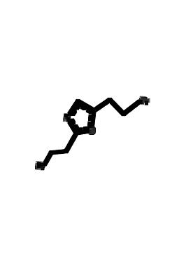 CC(C)CCc1cnc(CCC(C)C)o1